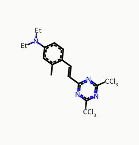 CCN(CC)c1ccc(C=Cc2nc(C(Cl)(Cl)Cl)nc(C(Cl)(Cl)Cl)n2)c(C)c1